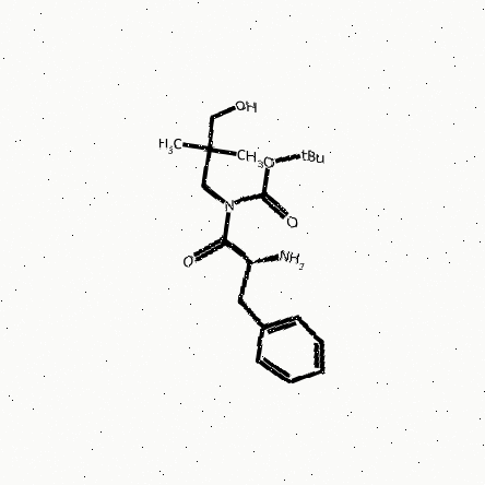 CC(C)(CO)CN(C(=O)OC(C)(C)C)C(=O)[C@@H](N)Cc1ccccc1